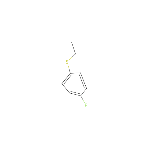 [CH2]CSc1ccc(F)cc1